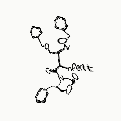 CCCCCC(C(=O)N1C(=O)OCC1Cc1ccccc1)C(COCc1ccccc1)=NOCc1ccccc1